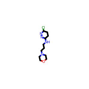 ClC1CCC(NCCCN2CCOCC2)N=N1